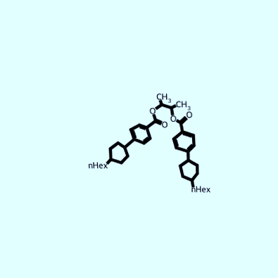 CCCCCCC1CCC(c2ccc(C(=O)OC(C)C(C)OC(=O)c3ccc(C4CCC(CCCCCC)CC4)cc3)cc2)CC1